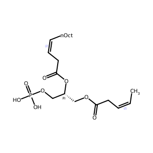 C/C=C\CC(=O)OC[C@H](COP(=O)(O)O)OC(=O)C/C=C\CCCCCCCC